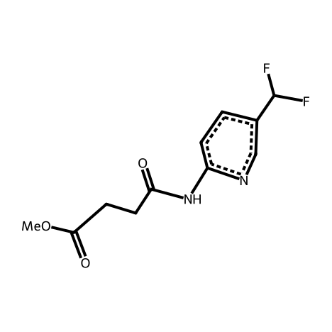 COC(=O)CCC(=O)Nc1ccc(C(F)F)cn1